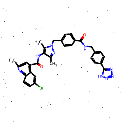 Cc1nn(Cc2ccc(C(=O)NCc3ccc(-c4nnn[nH]4)cc3)cc2)c(C)c1NC(=O)c1cc(C(F)(F)F)nc2ccc(Br)cc12